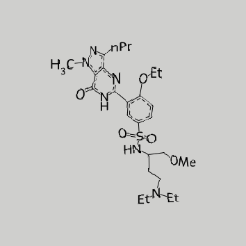 CCCc1nn(C)c2c(=O)[nH]c(-c3cc(S(=O)(=O)NC(CCN(CC)CC)COC)ccc3OCC)nc12